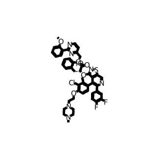 COc1ccccc1-c1nccc(COc2ccccc2C[C@@H](Oc2nsc3cnc(-c4ccc(F)c(F)c4)c(-c4ccc(OCCN5CCN(C)CC5)c(Cl)c4C)c23)C(=O)O)n1